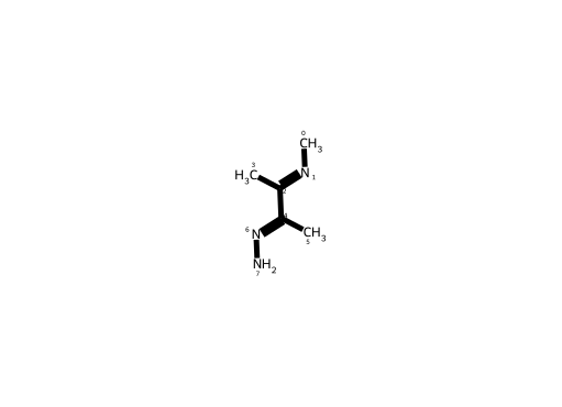 C/N=C(C)/C(C)=N/N